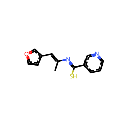 CC(=C\c1ccoc1)/N=C(\S)c1cccnc1